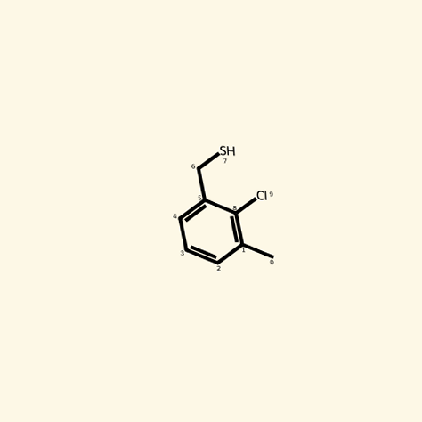 Cc1cccc(CS)c1Cl